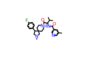 Cc1cncc(C(=O)N[C@@H](C(=O)N2CCC3(CC2)CN(C)CC3c2ccc(F)cc2)C(C)C)c1